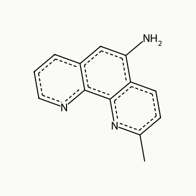 Cc1ccc2c(N)cc3cccnc3c2n1